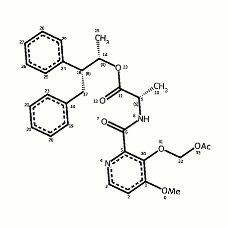 COc1ccnc(C(=O)N[C@@H](C)C(=O)O[C@@H](C)[C@H](Cc2ccccc2)c2ccccc2)c1OCOC(C)=O